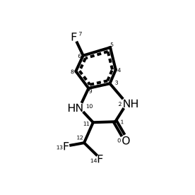 O=C1Nc2ccc(F)cc2NC1C(F)F